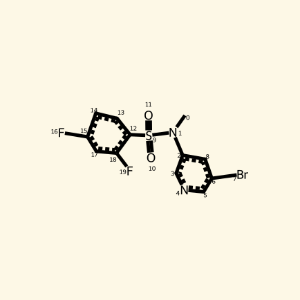 CN(c1cncc(Br)c1)S(=O)(=O)c1ccc(F)cc1F